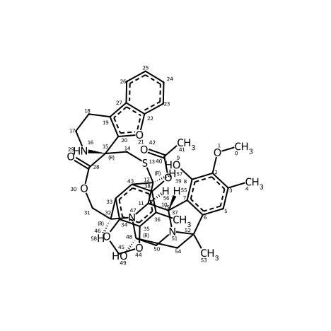 COc1c(C)cc2c(c1O)[C@H]1[C@@H]3[C@@H]4SC[C@]5(NCCc6c5oc5ccccc65)C(=O)OC[C@@H](c5c6c(c(C)c(OC(C)=O)c54)OCO6)N3[C@]3(O)CN1C2(C)C3